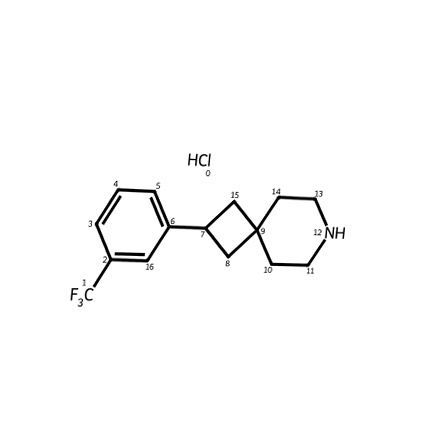 Cl.FC(F)(F)c1cccc(C2CC3(CCNCC3)C2)c1